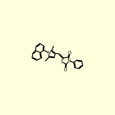 Cc1cc(/C=C2\SC(=O)N(c3ccccc3)C2=O)c(C)n1-c1cccc2ccccc12